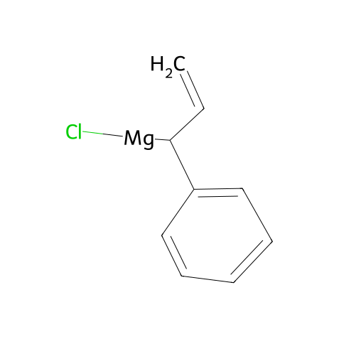 C=C[CH]([Mg][Cl])c1ccccc1